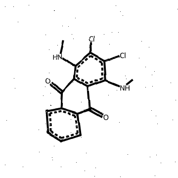 CNc1c(Cl)c(Cl)c(NC)c2c1C(=O)c1ccccc1C2=O